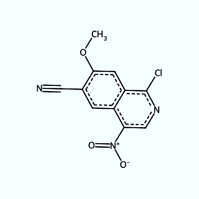 COc1cc2c(Cl)ncc([N+](=O)[O-])c2cc1C#N